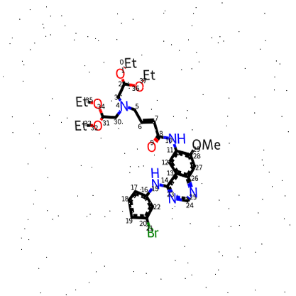 CCOC(CN(C/C=C/C(=O)Nc1cc2c(Nc3cccc(Br)c3)ncnc2cc1OC)CC(OCC)OCC)OCC